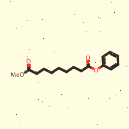 COC(=O)CCCCCCCC(=O)Oc1ccccc1